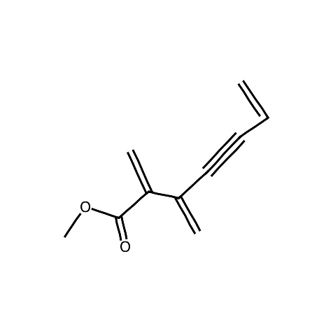 C=CC#CC(=C)C(=C)C(=O)OC